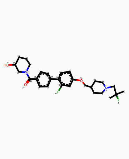 CC(C)(F)CN1CCC(COc2ccc(-c3ccc(C(=O)N4CCCC(O)C4)cc3)c(F)c2)CC1